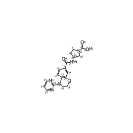 O=C(N[C@@H]1CCN(C(=O)O)C1)c1ccc2c(c1)OCCN2c1ncccn1